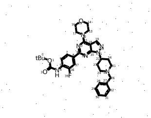 CC(C)(C)OC(=O)Nc1ccc(-c2nc(N3CCOCC3)c3cnn(C4CCN(Cc5ccccc5)CC4)c3n2)cc1F